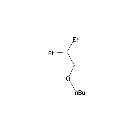 CCCCOCC(CC)CC